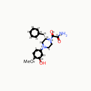 COc1ccc(N2CCN(C(=O)C(N)=O)[C@@H](Cc3ccccc3)C2)cc1O